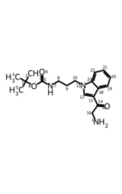 CC(C)(C)OC(=O)NCCCn1cc(C(=O)CN)c2ccccc21